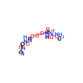 CC(C)C[C@H](NC[C@@H](O)[C@H](N)Cc1ccccc1)C(=O)NCCOCCOCCOc1ccc(C(=O)Nc2ccc3oc(-c4cccnc4)nc3c2)nc1